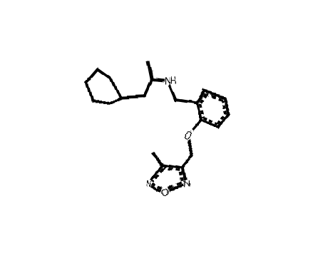 Cc1nonc1COc1ccccc1CNC(C)CC1CCCCC1